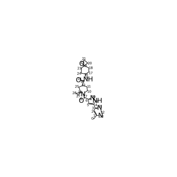 Cc1cc(-c2cc(C(=O)N3CCC(C(=O)NC4CCC5(CCO5)CC4)CC34CC4)n[nH]2)ncn1